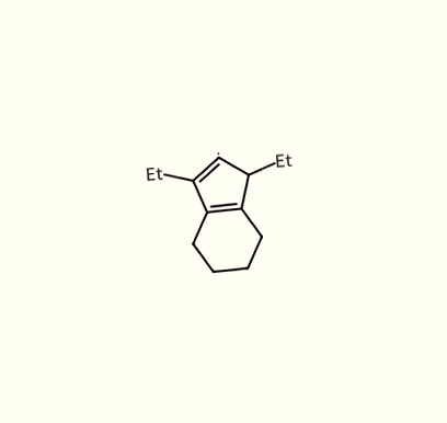 CCC1=[C]C(CC)C2=C1CCCC2